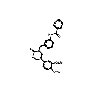 COc1ccc(C2=NN(Cc3cccc(NC(=O)c4cccnc4)c3)C(=O)OC2)cc1OC